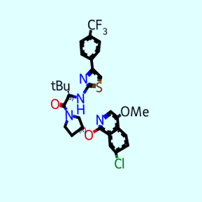 COc1cnc(O[C@@H]2CCN(C(=O)[C@@H](Nc3nc(-c4ccc(C(F)(F)F)cc4)cs3)C(C)(C)C)C2)c2cc(Cl)ccc12